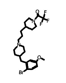 COc1ccc(Br)c(CC2CCN(CCCC3CCN(C(=O)C(F)(F)F)CC3)CC2)c1